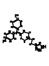 Fc1ccc(C(=C2CCN(CCc3c[nH]nn3)CC2)c2ccc(F)cc2)cc1